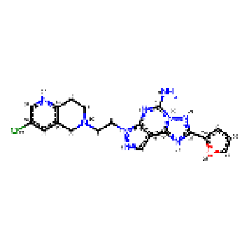 Nc1nc2c(cnn2CCN2CCc3ncc(Cl)cc3C2)c2nc(-c3ccco3)nn12